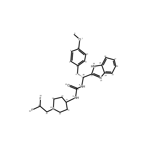 COc1ccc(C[C@@H](NC(=O)NC2CCN(CC(F)F)CC2)c2nc3ccccc3[nH]2)cc1